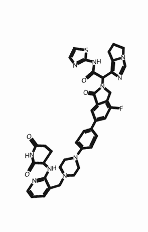 O=C1CCC(Nc2ncccc2CN2CCN(c3ccc(-c4cc(F)c5c(c4)C(=O)N(C(C(=O)Nc4nccs4)c4ncn6c4CCC6)C5)cc3)CC2)C(=O)N1